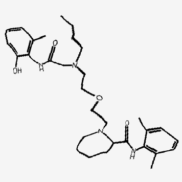 CCCCN(CCOCCN1CCCCC1C(=O)Nc1c(C)cccc1C)CC(=O)Nc1c(C)cccc1O